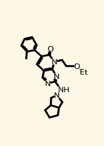 CCOCCn1c(=O)c(-c2ccccc2C)cc2cnc(NN3CC4CCCC4C3)nc21